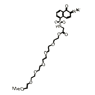 COCCOCCOCCOCCOCCOCCOC(=O)CNS(=O)(=O)c1cccc2c1C=CC(=[N+]=[N-])C2=O